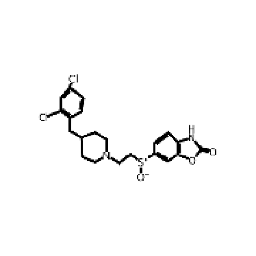 O=c1[nH]c2ccc([S+]([O-])CCN3CCC(Cc4ccc(Cl)cc4Cl)CC3)cc2o1